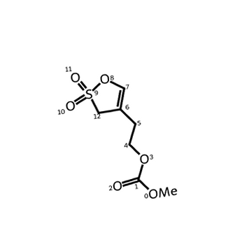 COC(=O)OCCC1=COS(=O)(=O)C1